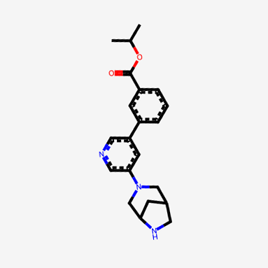 CC(C)OC(=O)c1cccc(-c2cncc(N3CC4CNC(C4)C3)c2)c1